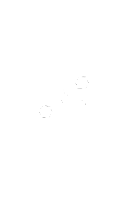 O=C(Cc1cc(F)cc(F)c1)N(O)[C@H](CN1CC[C@H](O)C1)c1ccccc1